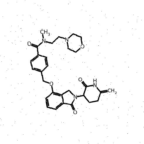 C=C1CCC(N2Cc3c(OCc4ccc(C(=O)N(C)CCN5CCOCC5)cc4)cccc3C2=O)C(=O)N1